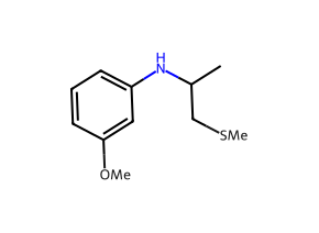 COc1cccc(NC(C)CSC)c1